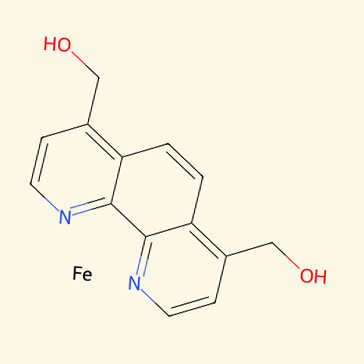 OCc1ccnc2c1ccc1c(CO)ccnc12.[Fe]